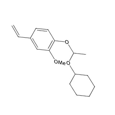 C=Cc1ccc(OC(C)OC2CCCCC2)c(OC)c1